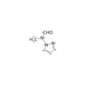 CN(C=O)n1cccn1